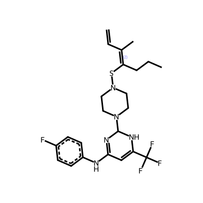 C=C/C(C)=C(/CCC)SN1CCN(C2N=C(Nc3ccc(F)cc3)C=C(C(F)(F)F)N2)CC1